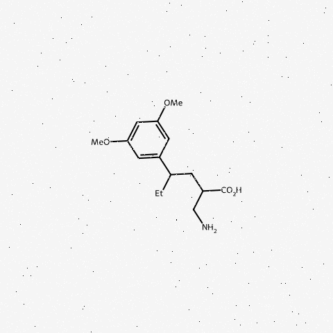 CCC(CC(CN)C(=O)O)c1cc(OC)cc(OC)c1